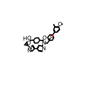 COc1ccc(C23CCC(CN(C(=O)C4CCC(C(=O)O)CC4)c4cc(-c5cnn(C6CC6)c5)ccn4)(CC2)CC3)cc1C